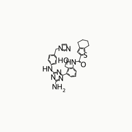 Nc1nc(Nc2ccc(Cn3ccnc3)cc2)nc(-c2cccc(NC(=O)c3cc4c(s3)CCCC4)c2CO)n1